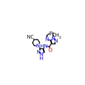 CC(C)/C=N\c1c(C(=O)Nc2c[nH]nc2N2CCC(C#N)CC2)cnn1C